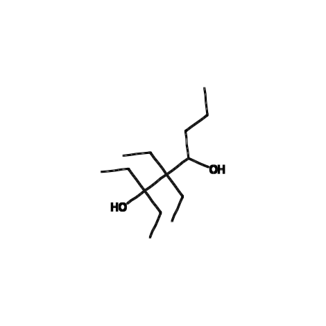 CCCC(O)C(CC)(CC)C(O)(CC)CC